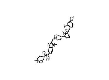 Cn1c(CN2CCC(c3cccc(OCc4ccc(Cl)cc4F)n3)CC2)nc2cc(NC(=O)C3CCC(C)(C)OC3)ccc21